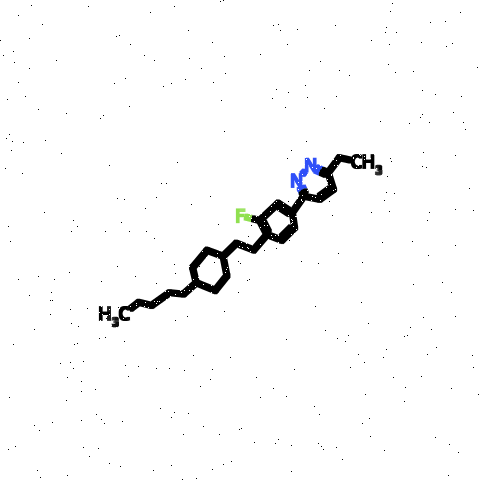 CCCCCC1CCC(CCc2ccc(-c3ccc(CC)nn3)cc2F)CC1